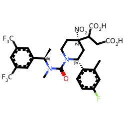 Cc1cc(F)ccc1[C@H]1C[C@@](C(CC(=O)O)C(=O)O)([N+](=O)[O-])CCN1C(=O)N(C)[C@H](C)c1cc(C(F)(F)F)cc(C(F)(F)F)c1